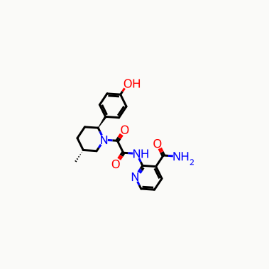 C[C@@H]1CC[C@@H](c2ccc(O)cc2)N(C(=O)C(=O)Nc2ncccc2C(N)=O)C1